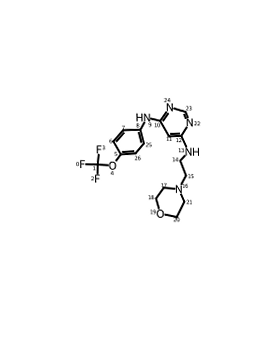 FC(F)(F)Oc1ccc(Nc2cc(NCCN3CCOCC3)ncn2)cc1